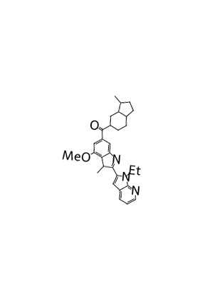 CCn1c(C2=Nc3cc(C(=O)C4CCC5CCC(C)C5C4)cc(OC)c3C2C)cc2cccnc21